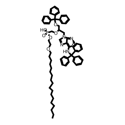 CCCCCCCCCCCCCCCCCCOCCOP(=O)(O)COC(COC(c1ccccc1)(c1ccccc1)c1ccccc1)Cn1cnc2c(NC(c3ccccc3)(c3ccccc3)c3ccccc3)ncnc21